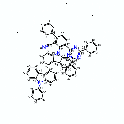 N#Cc1c(-c2ccccc2)ccc(-c2nc(-c3ccccc3)nc(-c3ccccc3)n2)c1-n1c2ccccc2c2c(-c3cccc4c3c3ccccc3n4-c3ccccc3)cccc21